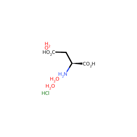 Cl.N[C@@H](CC(=O)O)C(=O)O.O.O.O